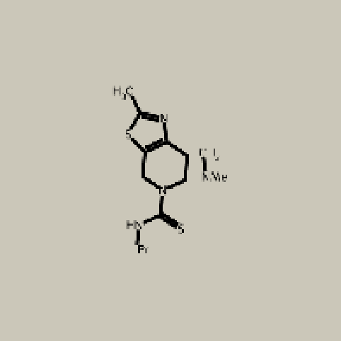 CNC.Cc1nc2c(s1)CN(C(=S)NC(C)C)CC2